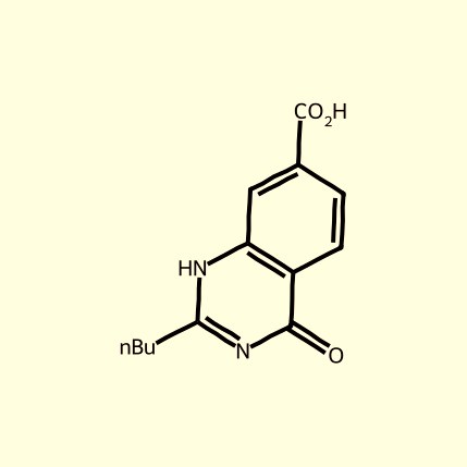 CCCCc1nc(=O)c2ccc(C(=O)O)cc2[nH]1